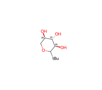 CC(C)(C)C1OC[C@@H](O)[C@H](O)[C@H]1O